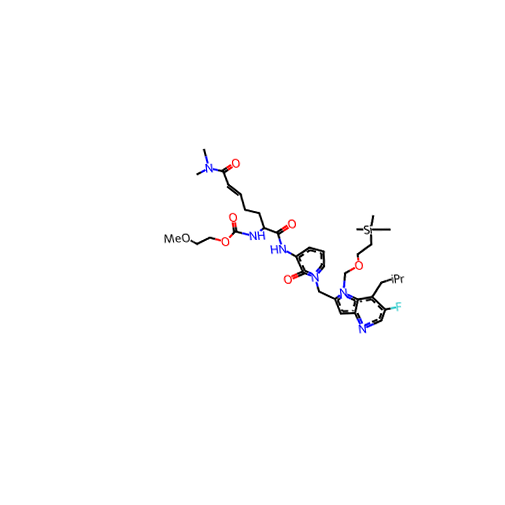 COCCOC(=O)NC(CC/C=C/C(=O)N(C)C)C(=O)Nc1cccn(Cc2cc3ncc(F)c(CC(C)C)c3n2COCC[Si](C)(C)C)c1=O